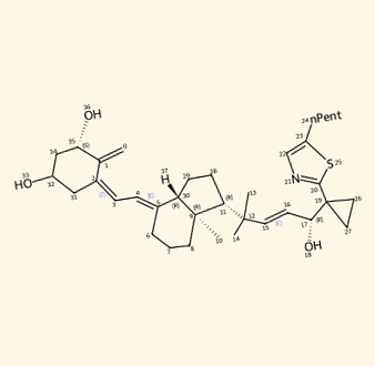 C=C1/C(=C\C=C2/CCC[C@]3(C)[C@@H](C(C)(C)/C=C/[C@@H](O)C4(c5ncc(CCCCC)s5)CC4)CC[C@@H]23)CC(O)C[C@@H]1O